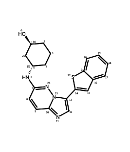 O[C@H]1CCC[C@H](Nc2ccc3ncc(-c4cc5ccccc5s4)n3n2)C1